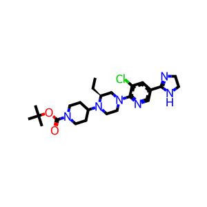 CC[C@H]1CN(c2ncc(C3=NCCN3)cc2Cl)CCN1C1CCN(C(=O)OC(C)(C)C)CC1